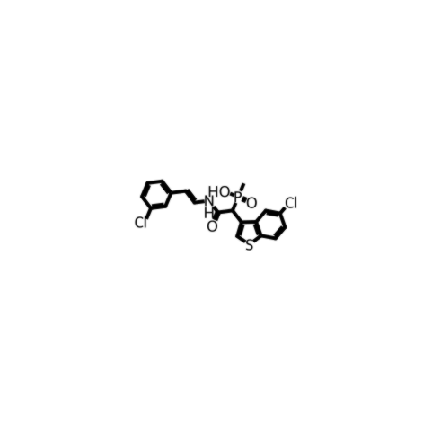 CP(=O)(O)C(C(=O)NC=Cc1cccc(Cl)c1)c1csc2ccc(Cl)cc12